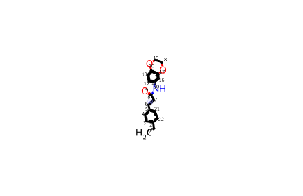 C=Cc1ccc(/C=C/C(=O)Nc2ccc3c(c2)OCCO3)cc1